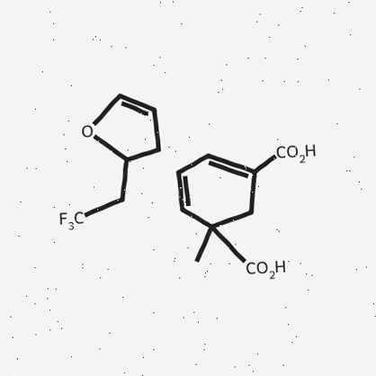 CC1(C(=O)O)C=CC=C(C(=O)O)C1.FC(F)(F)CC1CC=CO1